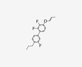 C/C=C/Oc1ccc(-c2ccc(CCC)c(F)c2)c(F)c1F